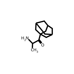 CC(N)C(=O)C12CC3CC(CC(C3)C1)C2